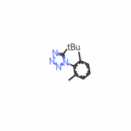 Cc1cccc(C)c1-n1nnnc1C(C)(C)C